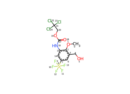 COc1c(CO)cc(S(F)(F)(F)(F)F)cc1NC(=O)OCC(Cl)(Cl)Cl